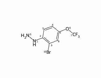 NNc1ccc(OC(F)(F)F)cc1Br